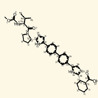 COC(=O)N[C@H](C(=O)N1CCC[C@H]1c1ncc(-c2ccc(-c3ccc(-c4cnc([C@H]5CCCC[C@@H]5C(=O)O)[nH]4)cc3)cc2)[nH]1)C(C)C